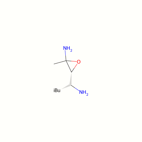 CC[C@@H](C)C(N)[C@H]1OC1(C)N